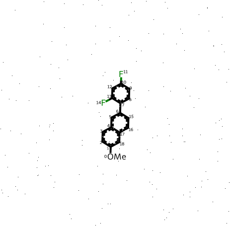 COc1ccc2cc(-c3ccc(F)cc3F)ccc2c1